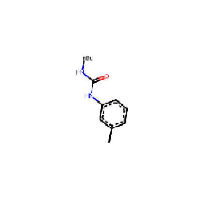 CCCCNC(=O)Nc1cccc(C)c1